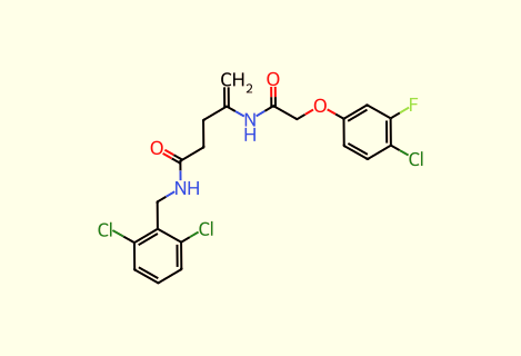 C=C(CCC(=O)NCc1c(Cl)cccc1Cl)NC(=O)COc1ccc(Cl)c(F)c1